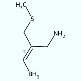 B/C=C(\CN)CSC